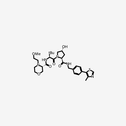 COCCN1CCOC[C@H]1C(=O)N[C@H](C(=O)N1C[C@H](O)C[C@H]1C(=O)NCc1ccc(-c2scnc2C)cc1)C(C)(C)C